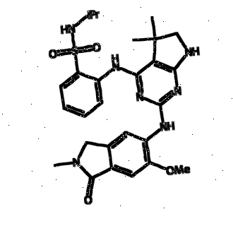 COc1cc2c(cc1Nc1nc3c(c(Nc4ccccc4S(=O)(=O)NC(C)C)n1)C(C)(C)CN3)CN(C)C2=O